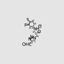 O=Cc1cn(C[C@H]2CN(c3ccc(I)c(F)c3)C(=O)O2)nn1